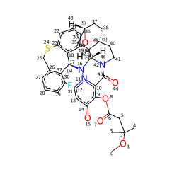 COC(C)(C)CC(=O)Oc1c2n(ccc1=O)N([C@@H]1c3ccccc3SCc3cccc(F)c31)[C@@H]1[C@H]3C[C@@H]4CC[C@@]3(CCN1C2=O)O4